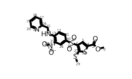 COC(=O)c1cc(S(=O)(=O)c2ccc(NCc3ccccn3)c([N+](=O)[O-])c2)c(SC)s1